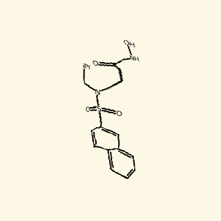 CC(C)CN(CC(=O)NO)S(=O)(=O)c1ccc2ccccc2c1